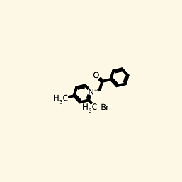 Cc1cc[n+](CC(=O)c2ccccc2)c(C)c1.[Br-]